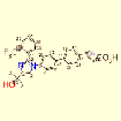 CC(C)(O)c1cn(-c2ccc(-c3ccc(/C=C/C(=O)O)cc3)cc2)c(-c2ccccc2C(F)(F)F)n1